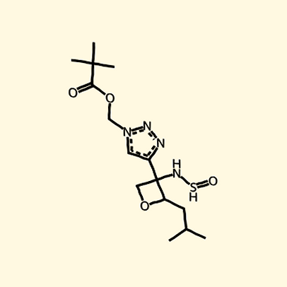 CC(C)CC1OCC1(N[SH]=O)c1cn(COC(=O)C(C)(C)C)nn1